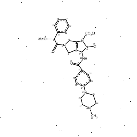 CCOC(=O)N1C2=C(CN(C(=O)[C@H](OC)c3ccccc3)C2)C(NC(=O)c2ccc(N3CCN(C)CC3)cc2)N1Cl